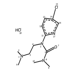 CN(C)CCN(C(=O)N(C)C)c1ccc(Cl)cn1.Cl